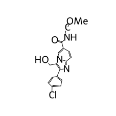 COCCNC(=O)c1ccc2nc(-c3ccc(Cl)cc3)c(CO)n2c1